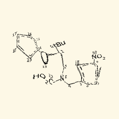 CC(C)(C)C(CN(Cc1cccc([N+](=O)[O-])c1)C(=O)O)Oc1ccccc1